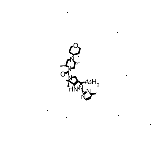 Cc1ccnc(N2NC3=C(CN(C(=O)N4C[C@@H](C)N(C5CCOCC5)C[C@@H]4C)C3(C)C)C2[AsH2])n1